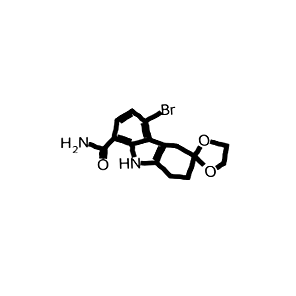 NC(=O)c1ccc(Br)c2c3c([nH]c12)CCC1(C3)OCCO1